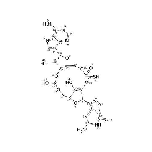 Nc1nc2c(ccn2C2OC3COP(O)OC4C(COP(=O)(S)OC2C3O)OC(n2cnc3c(N)ncnc32)C4O)c(=O)[nH]1